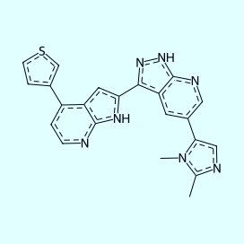 Cc1ncc(-c2cnc3[nH]nc(-c4cc5c(-c6ccsc6)ccnc5[nH]4)c3c2)n1C